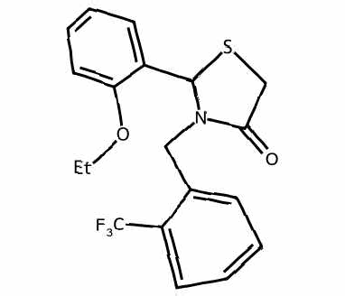 CCOc1ccccc1C1SCC(=O)N1Cc1ccccc1C(F)(F)F